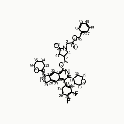 O=C(CN1CC(COc2nc(C3CCOCC3)c(-c3ccc(F)c(F)c3)c3cc4cnn(C5CCCCO5)c4cc23)CC1=O)OCc1ccccc1